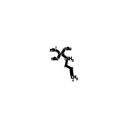 C=CC[SiH2][Sn]([CH2]CCC)([CH2]CCC)[CH2]CCC